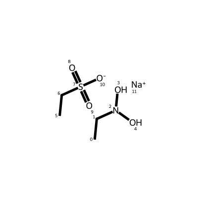 CCN(O)O.CCS(=O)(=O)[O-].[Na+]